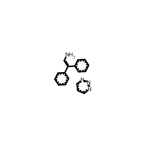 NC=C(c1ccccc1)c1ccccc1.c1cnnnc1